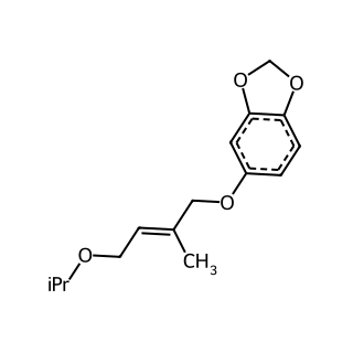 C/C(=C\COC(C)C)COc1ccc2c(c1)OCO2